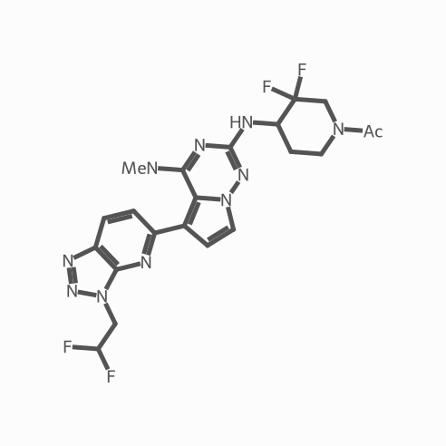 CNc1nc(NC2CCN(C(C)=O)CC2(F)F)nn2ccc(-c3ccc4nnn(CC(F)F)c4n3)c12